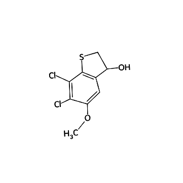 COc1cc2c(c(Cl)c1Cl)SCC2O